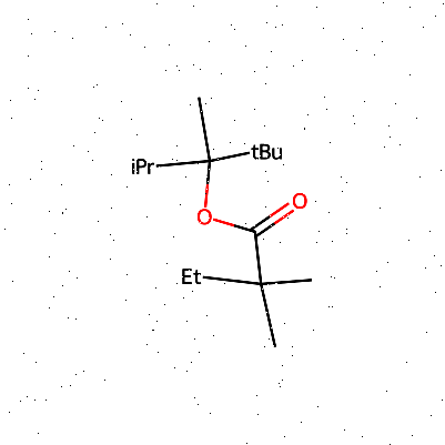 CCC(C)(C)C(=O)OC(C)(C(C)C)C(C)(C)C